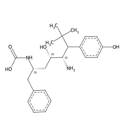 CC(C)(C)C(c1ccc(O)cc1)[C@H](N)[C@@H](O)C[C@H](Cc1ccccc1)NC(=O)O